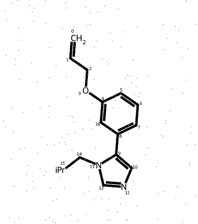 C=CCOc1cccc(-c2cncn2CC(C)C)c1